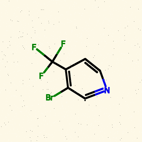 FC(F)(F)c1ccn[c]c1Br